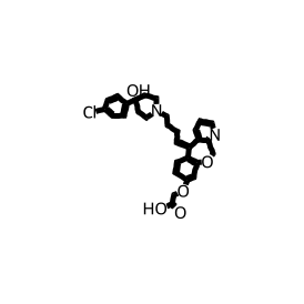 O=C(O)COc1ccc2c(c1)OCc1ncccc1/C2=C\CCCN1CCC(O)(c2ccc(Cl)cc2)CC1